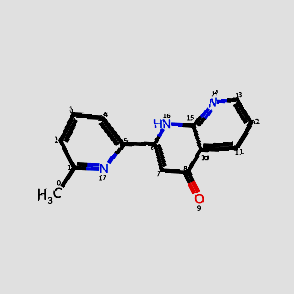 Cc1cccc(-c2cc(=O)c3cccnc3[nH]2)n1